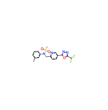 Cc1cccc(N(Cc2ccc(-c3nnc(C(F)F)o3)cn2)S(C)(=O)=O)c1